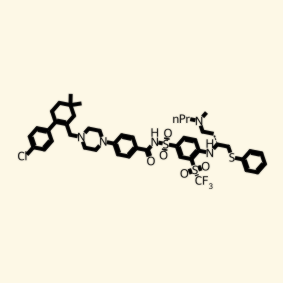 CCCN(C)CC[C@H](CSc1ccccc1)Nc1ccc(S(=O)(=O)NC(=O)c2ccc(N3CCN(CC4=C(c5ccc(Cl)cc5)CCC(C)(C)C4)CC3)cc2)cc1S(=O)(=O)C(F)(F)F